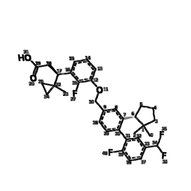 CC1(C)CCC[C@H]1c1cc(COc2cccc([C@H](CC(=O)O)C3(C)CC3)c2F)ccc1-c1cc(C(F)F)ccc1F